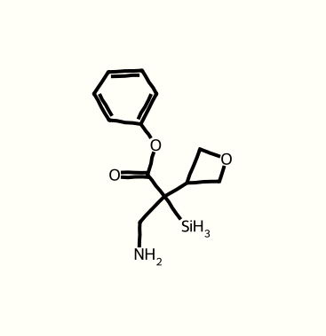 NCC([SiH3])(C(=O)Oc1ccccc1)C1COC1